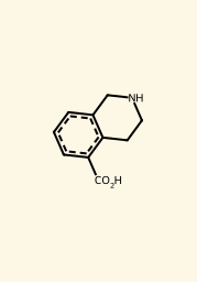 O=C(O)c1cccc2c1CCNC2